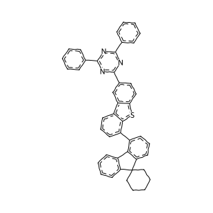 c1ccc(-c2nc(-c3ccccc3)nc(-c3ccc4sc5c(-c6cccc7c6-c6ccccc6C76CCCCC6)cccc5c4c3)n2)cc1